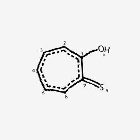 Oc1cc[c]ccc1=S